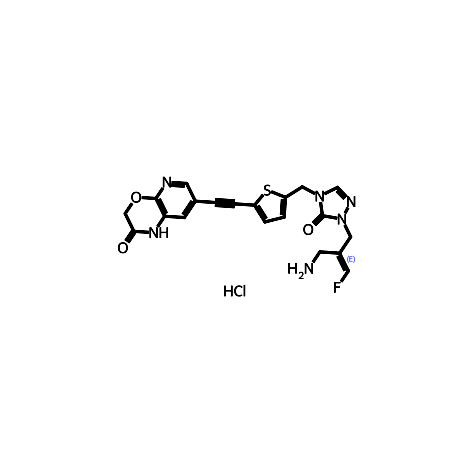 Cl.NC/C(=C\F)Cn1ncn(Cc2ccc(C#Cc3cnc4c(c3)NC(=O)CO4)s2)c1=O